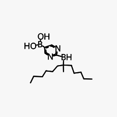 CCCCCCC(C)(Bc1ncc(B(O)O)cn1)CCCCC